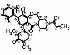 C=CC(=O)N1CCN2C(=O)c3c(N4CCN(C)C(=O)[C@@H]4C)nc(-c4c(O)cccc4F)c(Cl)c3OCC2C1